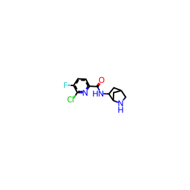 O=C(NC1CC2CNC1C2)c1ccc(F)c(Cl)n1